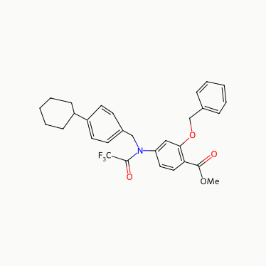 COC(=O)c1ccc(N(Cc2ccc(C3CCCCC3)cc2)C(=O)C(F)(F)F)cc1OCc1ccccc1